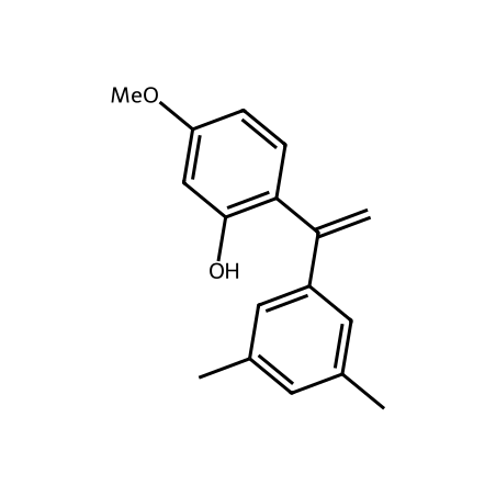 C=C(c1cc(C)cc(C)c1)c1ccc(OC)cc1O